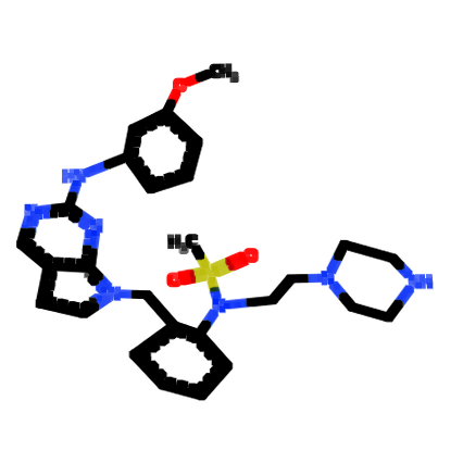 COc1cccc(Nc2ncc3ccn(Cc4ccccc4N(CCN4CCNCC4)S(C)(=O)=O)c3n2)c1